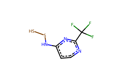 FC(F)(F)c1nccc(NSS)n1